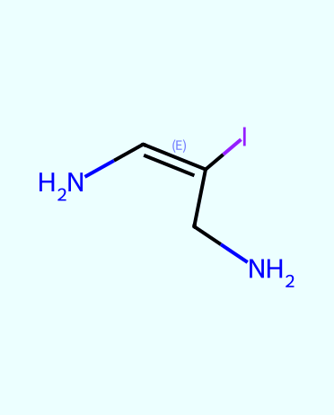 N/C=C(/I)CN